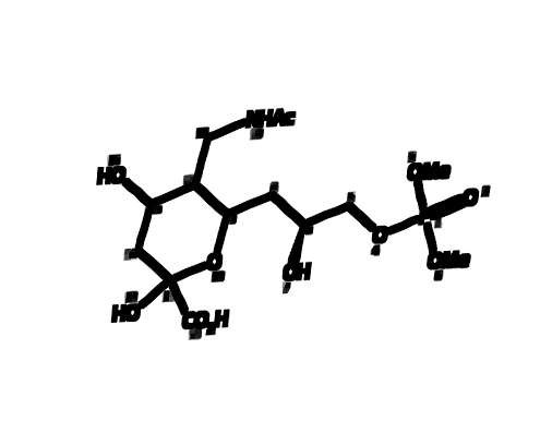 COP(=O)(OC)OC[C@@H](O)CC1OC(O)(C(=O)O)CC(O)C1CNC(C)=O